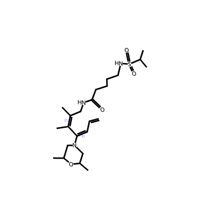 C=C/C=C(\C(C)=C(\C)CNC(=O)CCCCNS(=O)(=O)C(C)C)N1CC(C)OC(C)C1